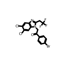 O=C(Cn1c(CC(F)(F)F)nc2cc(Cl)c(Cl)cc21)c1ccc(Br)cc1